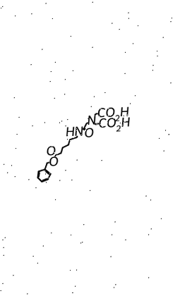 O=C(O)CN(CC(=O)O)CC(=O)NCCCCCC(=O)OCc1ccccc1